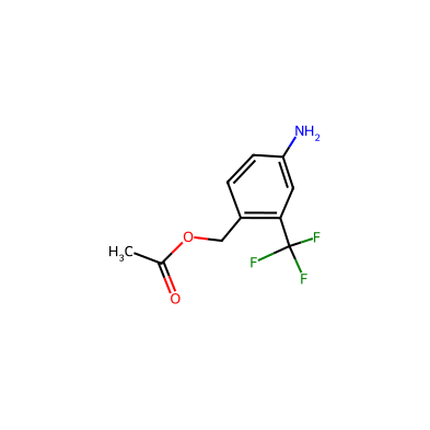 CC(=O)OCc1ccc(N)cc1C(F)(F)F